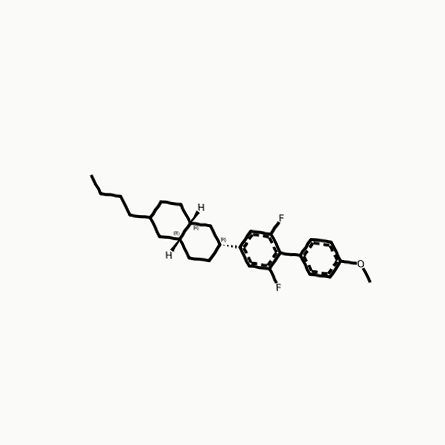 CCCCC1CC[C@@H]2C[C@H](c3cc(F)c(-c4ccc(OC)cc4)c(F)c3)CC[C@@H]2C1